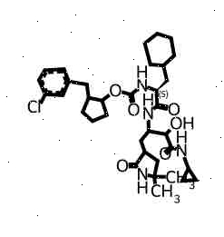 CC1(C)CC(CC(NC(=O)[C@H](CC2CCCCC2)NC(=O)OC2CCCC2Cc2cccc(Cl)c2)C(O)C(=O)NC2CC2)C(=O)N1